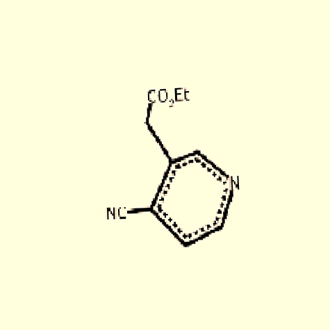 CCOC(=O)Cc1cnccc1C#N